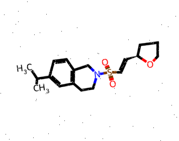 CC(C)c1ccc2c(c1)CCN(S(=O)(=O)C=C[C@H]1CCCO1)C2